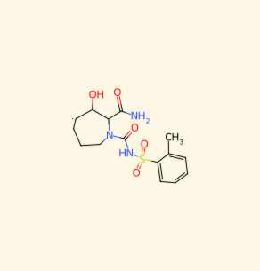 Cc1ccccc1S(=O)(=O)NC(=O)N1CCC[CH]C(O)C1C(N)=O